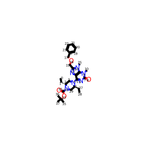 CC[C@@H]1CN(c2nc(=O)n(C)c3c2nc(COCc2ccccc2)n3C)[C@@H](CC)CN1C(=O)OC(C)(C)C